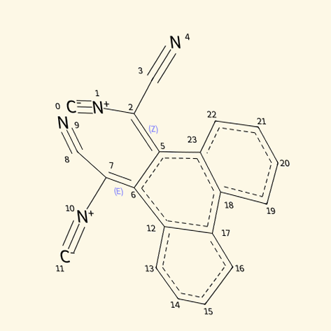 [C-]#[N+]/C(C#N)=c1\c(=C(/C#N)[N+]#[C-])c2ccccc2c2ccccc12